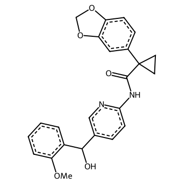 COc1ccccc1C(O)c1ccc(NC(=O)C2(c3ccc4c(c3)OCO4)CC2)nc1